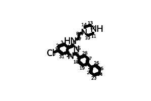 Clc1ccc2c(NCCN3CCNCC3)nc(-c3ccc(-c4ccccc4)cc3)nc2c1